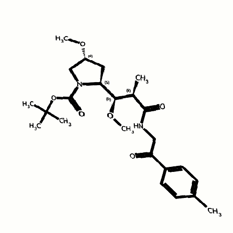 CO[C@@H]1C[C@@H]([C@H](OC)[C@@H](C)C(=O)NCC(=O)c2ccc(C)cc2)N(C(=O)OC(C)(C)C)C1